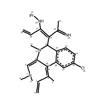 C=C/C(C)=C\C(=C/N(C)C)N(C)C(/C(C(C)=N)=C(\C=C)NC(C)C)c1ccc(Cl)cc1F